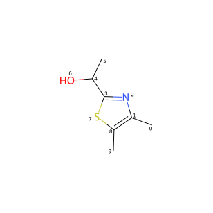 Cc1nc(C(C)O)sc1C